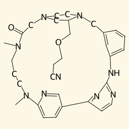 CN1CCCN(C)c2ccc(cn2)-c2ccnc(n2)Nc2cccc(c2)CN2CCN(CC1=O)CC2COCCC#N